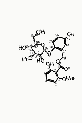 COc1cccc(O)c1C(=O)OCc1cc(O)ccc1O[C@@H]1O[C@H](CO)[C@@H](O)[C@H](O)[C@H]1O